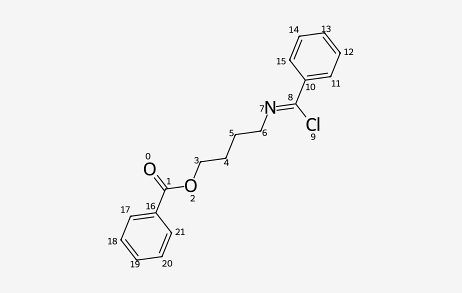 O=C(OCCCCN=C(Cl)c1ccccc1)c1ccccc1